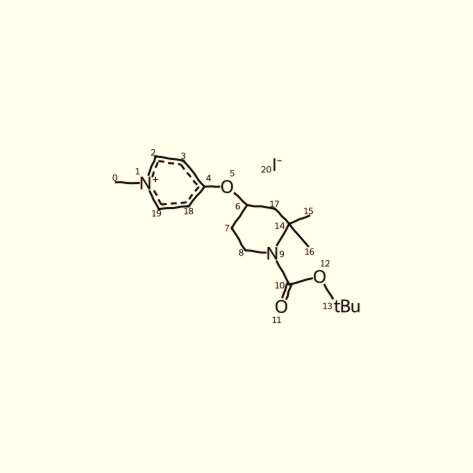 C[n+]1ccc(OC2CCN(C(=O)OC(C)(C)C)C(C)(C)C2)cc1.[I-]